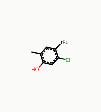 Cc1cc(C(C)(C)C)c(Cl)cc1O